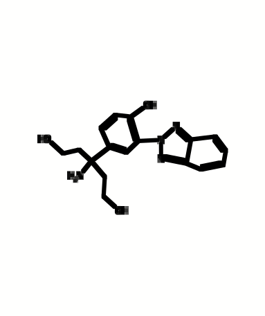 NC(CCO)(CCO)c1ccc(O)c(-n2nc3ccccc3n2)c1